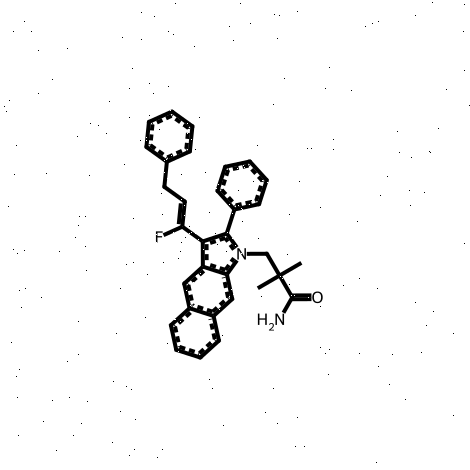 CC(C)(Cn1c(-c2ccccc2)c(/C(F)=C/Cc2ccccc2)c2cc3ccccc3cc21)C(N)=O